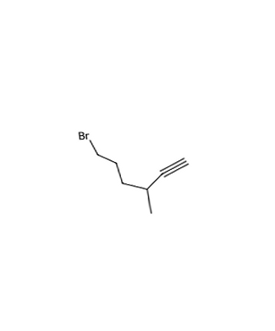 C#CC(C)CCCBr